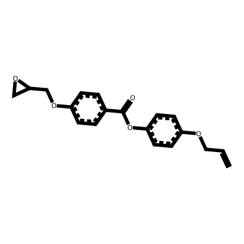 C=CCOc1ccc(OC(=O)c2ccc(OCC3CO3)cc2)cc1